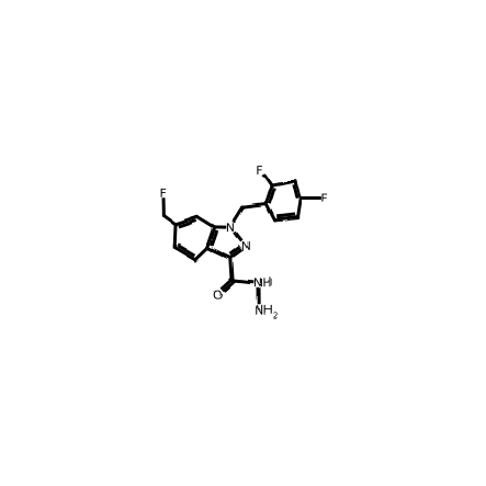 NNC(=O)c1nn(Cc2ccc(F)cc2F)c2cc(CF)ccc12